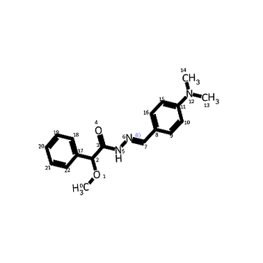 COC(C(=O)N/N=C/c1ccc(N(C)C)cc1)c1ccccc1